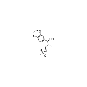 C[C@H](COS(C)(=O)=O)[C@H](O)c1ccc2c(c1)OCCO2